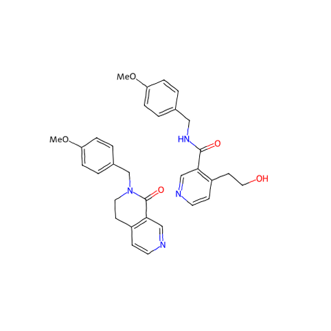 COc1ccc(CN2CCc3ccncc3C2=O)cc1.COc1ccc(CNC(=O)c2cnccc2CCO)cc1